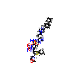 O=[N+]([O-])c1cc(S(=O)(=O)Nc2ncnc3cc(N4CCN(Cc5cccc(-c6ccccc6)c5)CC4)ccc23)ccc1NC(CCN1CCOCC1)CSc1ccccc1